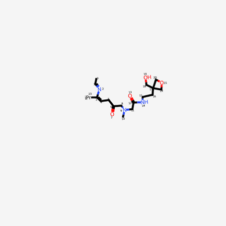 C/C=N/C(=C\CC(=O)CN(C)CC(=O)NCCC1(CO)COC1)C(C)C